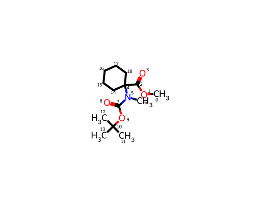 COC(=O)C1(N(C)C(=O)OC(C)(C)C)CCCCC1